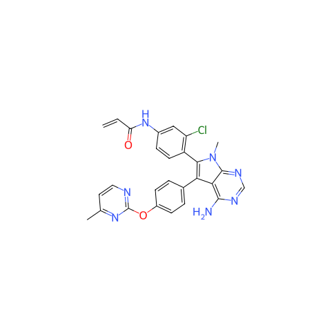 C=CC(=O)Nc1ccc(-c2c(-c3ccc(Oc4nccc(C)n4)cc3)c3c(N)ncnc3n2C)c(Cl)c1